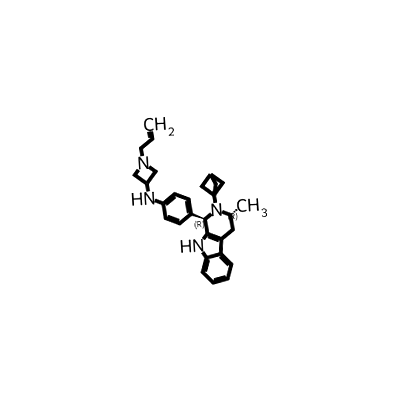 C=CCN1CC(Nc2ccc([C@@H]3c4[nH]c5ccccc5c4C[C@@H](C)N3C34CC(C3)C4)cc2)C1